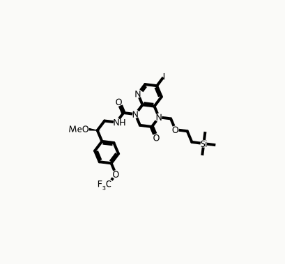 CO[C@@H](CNC(=O)N1CC(=O)N(COCC[Si](C)(C)C)c2cc(I)cnc21)c1ccc(OC(F)(F)F)cc1